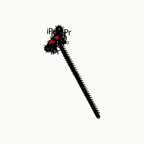 C=C=C=C=C=C=C=C=C=C=C=C=C=C=C=C=C=C=C=C=C=C=C=C=C=C=C=C=C=C=C=C=C=C=C=C(N(C(=O)C(=C)C)C1CC(=O)N(c2c(C(C)C)cccc2C(C)C)C1=O)N(C(=O)C(=C)C)C1CC(=O)N(c2c(C(C)C)cccc2C(C)C)C1=O